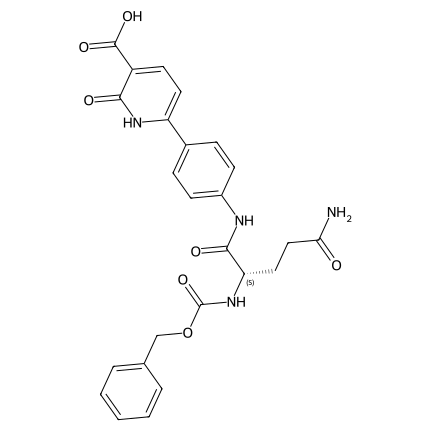 NC(=O)CC[C@H](NC(=O)OCc1ccccc1)C(=O)Nc1ccc(-c2ccc(C(=O)O)c(=O)[nH]2)cc1